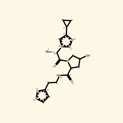 CC(C)(C)[C@@H](C(=O)N1CC(O)CC1C(=O)NCCc1ccno1)n1cc(C2CC2)nn1